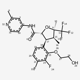 Cc1cc(NC(=O)[C@@H]2O[C@@](C)(C(F)(F)F)[C@@H](C)[C@H]2c2ccc(F)c(F)c2OCCO)ccn1